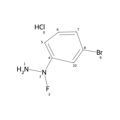 Cl.NN(F)c1cccc(Br)c1